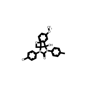 Cc1ccc(N2C(=O)N(c3ccc(Cl)cc3)C3(COC3)C2(O)c2cccc(OC(F)(F)F)c2)cc1